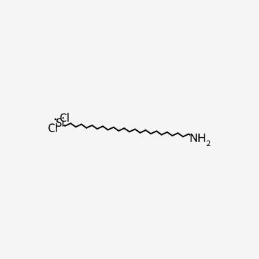 C[Si](Cl)(Cl)CCCCCCCCCCCCCCCCCCCCCCCCN